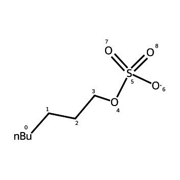 CCCCCCCOS([O])(=O)=O